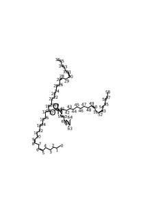 CCCCC/C=C\C/C=C\CCCCCCCCC(CCCCCCCC/C=C\C/C=C\CCCCC)OC(=O)N(CCCCCCCC/C=C\C/C=C\CCCCC)CCCN(C)C